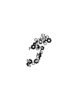 C[CH]C(=O)N[C@H](C(=O)N1CCN(C(=O)c2cc3cc(F)ccc3n2CC(=O)N2CCC[C@H]2COc2cc(CN3CCC(Oc4ccnc5ccsc45)CC3)on2)[C@@H](C)C1)C1CCCCC1